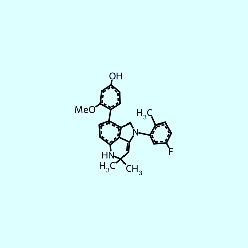 COc1cc(O)ccc1-c1ccc2c3c1CN(c1cc(F)ccc1C)C3=CC(C)(C)N2